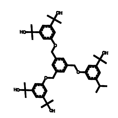 CC(C)c1cc(OCc2cc(COc3cc(C(C)(C)O)cc(C(C)(C)O)c3)cc(COc3cc(C(C)(C)O)cc(C(C)(C)O)c3)c2)cc(C(C)(C)O)c1